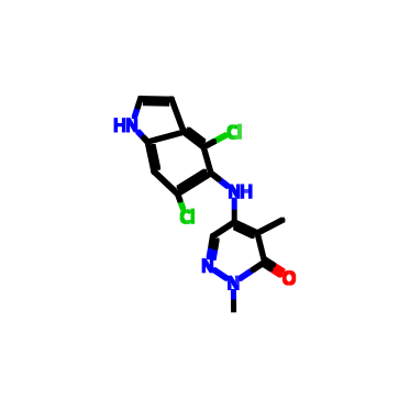 Cc1c(Nc2c(Cl)cc3[nH]ccc3c2Cl)cnn(C)c1=O